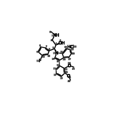 CNC[C@@H](O)[C@H](c1cccc(F)c1)n1cc(-c2cccc(OC)c2OC)c2ccccc21.Cl